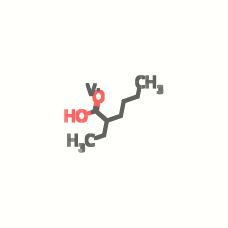 CCCCC(CC)C(=O)O.[V]